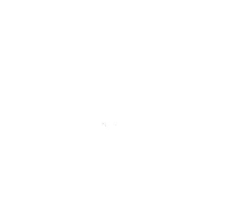 CC(C)[C@H]1CNC(=O)[C@H]1C(C)C